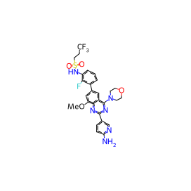 COc1cc(-c2cccc(NS(=O)(=O)CCC(F)(F)F)c2F)cc2c(N3CCOCC3)nc(-c3ccc(N)nc3)nc12